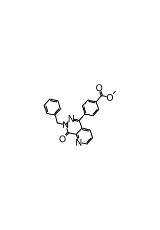 COC(=O)c1ccc(-c2nn(Cc3ccccc3)c(=O)c3ncccc23)cc1